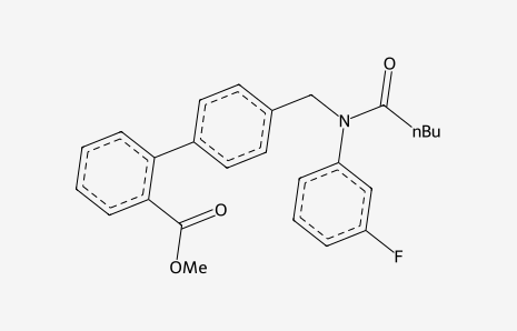 CCCCC(=O)N(Cc1ccc(-c2ccccc2C(=O)OC)cc1)c1cccc(F)c1